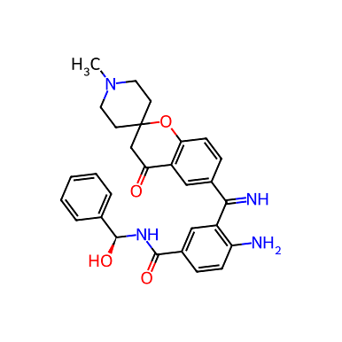 CN1CCC2(CC1)CC(=O)c1cc(C(=N)c3cc(C(=O)N[C@@H](O)c4ccccc4)ccc3N)ccc1O2